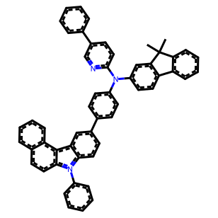 CC1(C)c2ccccc2-c2ccc(N(c3ccc(-c4ccc5c(c4)c4c6ccccc6ccc4n5-c4ccccc4)cc3)c3ccc(-c4ccccc4)cn3)cc21